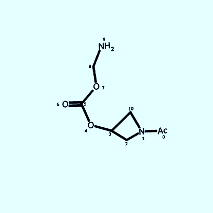 CC(=O)N1CC(OC(=O)OCN)C1